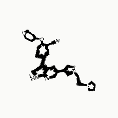 N#Cc1cc(-c2c[nH]c3ncc(-c4cnn(CCN5CCCC5)c4)cc23)ccc1OC1CCOCC1